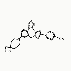 N#Cc1ccc(-c2cc3n(c2)Cc2cc(N4CCC5(CCC5)CC4)ccc2-n2ccnc2-3)cc1